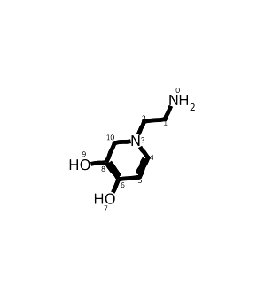 NCCN1C=CC(O)=C(O)C1